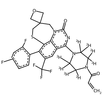 [2H]C1([2H])N(C(=O)C=C)C([2H])([2H])C([2H])([2H])N(c2nc(=O)n3c4c(c(-c5ccc(F)cc5F)c(C(F)(F)F)cc24)SCC2(COC2)C3)C1([2H])[2H]